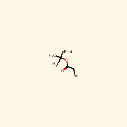 CCCCCC(C)(C)OC(=O)CC(C)=O